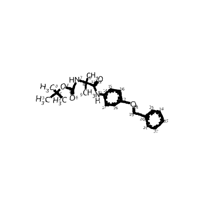 CC(C)(C)OC(=O)NC(C)(C)C(=O)Nc1ccc(OCc2ccccc2)cc1